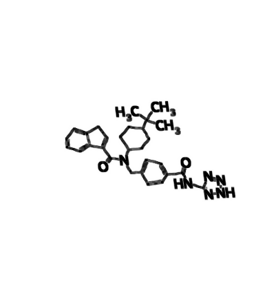 CC(C)(C)C1CCC(N(Cc2ccc(C(=O)Nc3nn[nH]n3)cc2)C(=O)C2=CCc3ccccc32)CC1